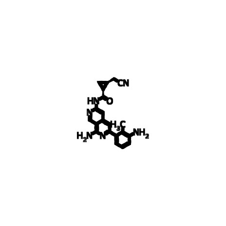 Cc1c(N)cccc1-c1cc2cc(NC(=O)[C@@H]3C[C@H]3CC#N)ncc2c(N)n1